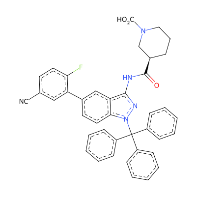 N#Cc1ccc(F)c(-c2ccc3c(c2)c(NC(=O)[C@@H]2CCCN(C(=O)O)C2)nn3C(c2ccccc2)(c2ccccc2)c2ccccc2)c1